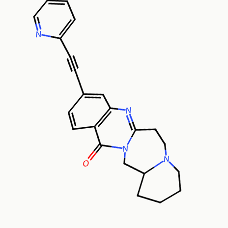 O=c1c2ccc(C#Cc3ccccn3)cc2nc2n1CC1CCCCN1CC2